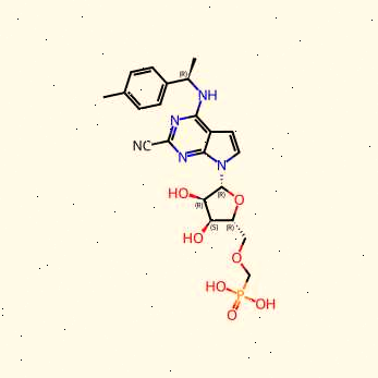 Cc1ccc([C@@H](C)Nc2nc(C#N)nc3c2ccn3[C@@H]2O[C@H](COCP(=O)(O)O)[C@@H](O)[C@H]2O)cc1